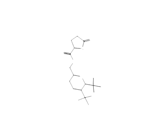 CC(C)(C)C1CCC(COC(=O)C2CCC(=O)N2)OC1C(C)(C)C